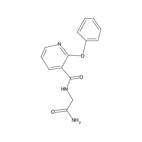 NC(=O)CNC(=O)c1cccnc1Oc1ccccc1